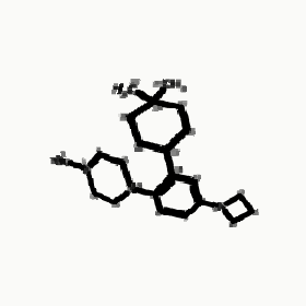 CCCCN1CCN(c2ccc(N3CCC3)cc2C2CCC(C)(C)CC2)CC1